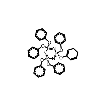 C1=CC(OP2(Oc3ccccc3)=NP(Oc3ccccc3)(Oc3ccccc3)=NP(Oc3ccccc3)(Oc3ccccc3)=N2)=CCC1